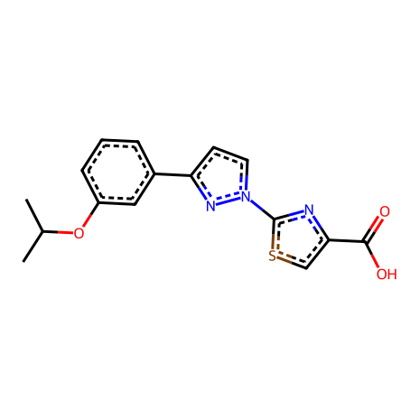 CC(C)Oc1cccc(-c2ccn(-c3nc(C(=O)O)cs3)n2)c1